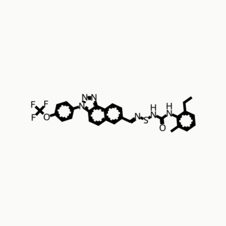 CCc1cccc(C)c1NC(=O)NS/N=C/c1ccc2c(ccc3c2nnn3-c2ccc(OC(F)(F)F)cc2)c1